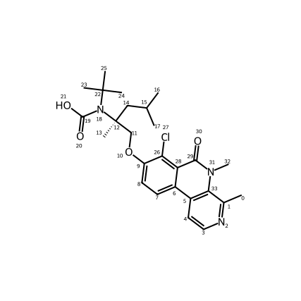 Cc1nccc2c3ccc(OC[C@](C)(CC(C)C)N(C(=O)O)C(C)(C)C)c(Cl)c3c(=O)n(C)c12